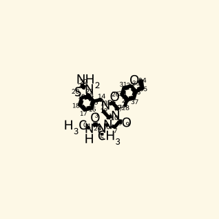 CNC(=O)N(C)N1CC(=O)N2C1CN(Cc1cccc3sc(N)nc13)C(=O)[C@@H]2Cc1ccc2occc2c1